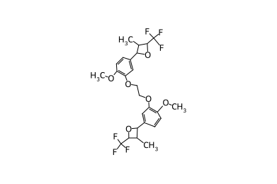 COc1ccc(C2OC(C(F)(F)F)C2C)cc1OCCOc1cc(C2OC(C(F)(F)F)C2C)ccc1OC